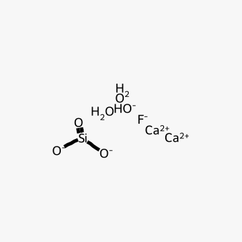 O.O.O=[Si]([O-])[O-].[Ca+2].[Ca+2].[F-].[OH-]